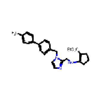 CCOC(=O)C1=C(NCc2nccn2Cc2ccc(-c3ccc(C(F)(F)F)cc3)cc2)CCC1